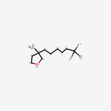 CCC(F)(F)CCCCCC1(C)CCOC1